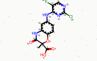 CC1(C(=O)O)Oc2ccc(Nc3nc(Cl)ncc3F)cc2NC1=O